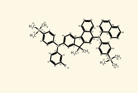 CC1(C)c2cc(N(c3ccc([Si](C)(C)C)cc3)c3cccc(F)c3)ccc2-c2c1cc(N(c1ccc([Si](C)(C)C)cc1)c1cccc3ccccc13)c1ccccc21